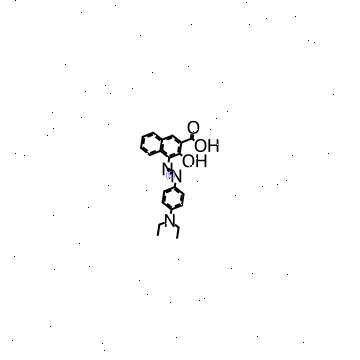 CCN(CC)c1ccc(/N=N/c2c(O)c(C(=O)O)cc3ccccc23)cc1